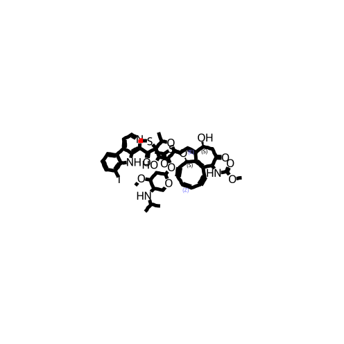 COC(=O)NC1C(=O)C[C@H](O)/C(=C/CSC(C)=O)C2=C1C#C/C=C\C#C[C@@H]2OC1OC(C)C(SC)(C(=O)c2nccc3c2[nH]c2c(I)cccc23)C(O)C1OC1CC(OC)C(NC(C)C)CO1